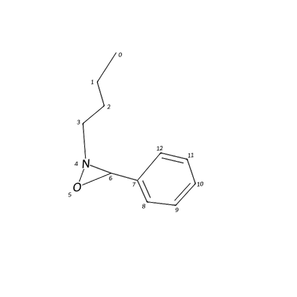 CCCCN1OC1c1ccccc1